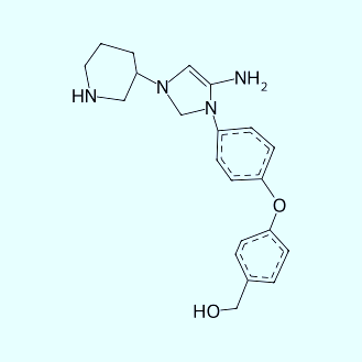 NC1=CN(C2CCCNC2)CN1c1ccc(Oc2ccc(CO)cc2)cc1